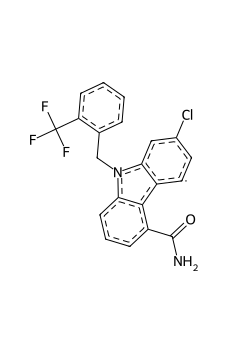 NC(=O)c1cccc2c1c1[c]cc(Cl)cc1n2Cc1ccccc1C(F)(F)F